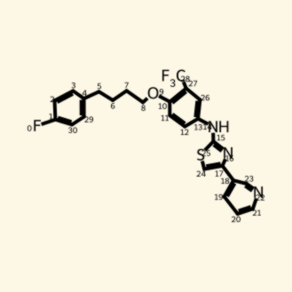 Fc1ccc(CCCCOc2ccc(Nc3nc(-c4cccnc4)cs3)cc2C(F)(F)F)cc1